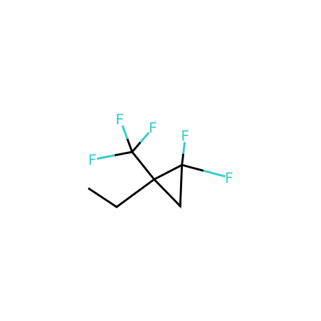 CCC1(C(F)(F)F)CC1(F)F